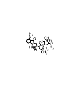 CNC(=O)[C@H](CC(C)C)NC(=O)C(CC(C)C)C(CN1C(=O)c2cccc(N)c2C1=O)[PH](=O)O